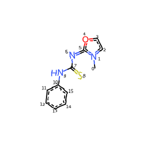 Cn1cco/c1=N/C(=S)Nc1ccccc1